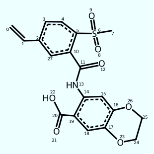 C=Cc1ccc(S(C)(=O)=O)c(C(=O)Nc2cc3c(cc2C(=O)O)OCCO3)c1